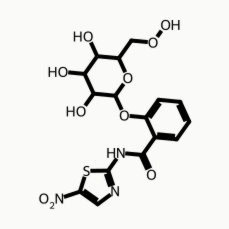 O=C(Nc1ncc([N+](=O)[O-])s1)c1ccccc1OC1OC(COO)C(O)C(O)C1O